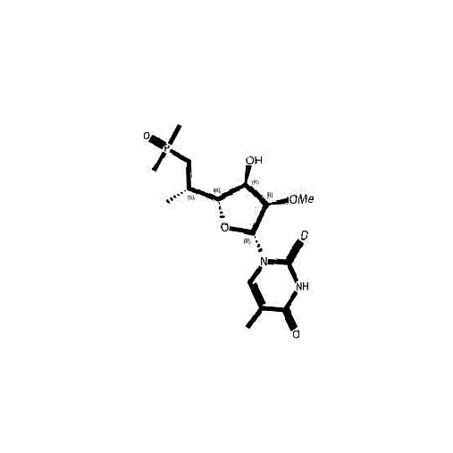 CO[C@@H]1[C@H](O)[C@@H]([C@H](C)CP(C)(C)=O)O[C@H]1n1cc(C)c(=O)[nH]c1=O